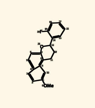 COc1ccc2ccc3c(c2c1)CCC(c1ccccc1F)O3